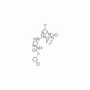 O=C(Nc1cc(NCc2cn3cc(C4CC4)cc(N4CC(=O)N(CC(F)(F)F)C4=O)c3n2)ccn1)[C@H]1C[C@@H]1c1cccc(Cl)c1